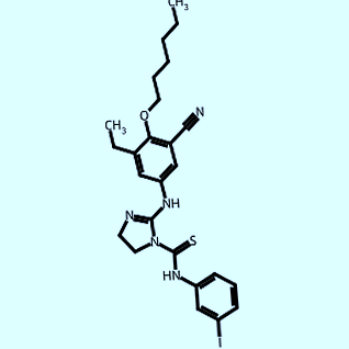 CCCCCCOc1c(C#N)cc(NC2=NCCN2C(=S)Nc2cccc(I)c2)cc1CC